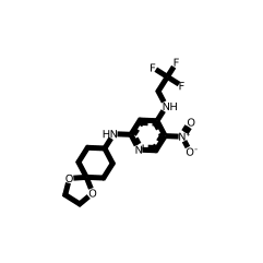 O=[N+]([O-])c1cnc(NC2CCC3(CC2)OCCO3)cc1NCC(F)(F)F